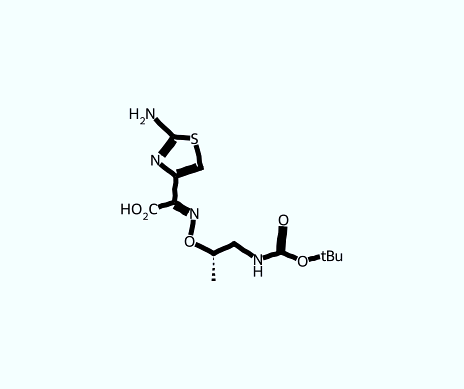 C[C@@H](CNC(=O)OC(C)(C)C)ON=C(C(=O)O)c1csc(N)n1